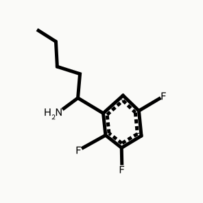 CCCCC(N)c1cc(F)cc(F)c1F